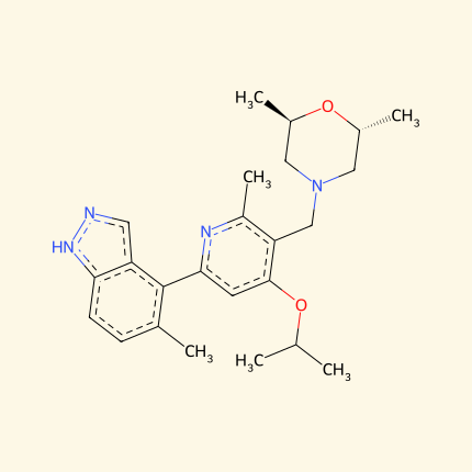 Cc1ccc2[nH]ncc2c1-c1cc(OC(C)C)c(CN2C[C@@H](C)O[C@H](C)C2)c(C)n1